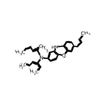 C=C/C=C\C1=CC2Oc3ccc(N(/C(C)=C/C=C\C)/C(C=C)=C/C=C)cc3NC2C=C1